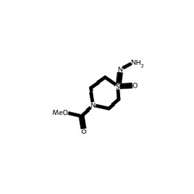 COC(=O)N1CCS(=O)(=NN)CC1